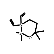 C=C[Si]1(C=C)CCC(C)(C)O[Si]1(C)C